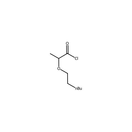 CCCCCCOC(C)C(=O)Cl